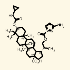 CC(COC(=O)n1ccc(N)n1)[C@@H]1CC[C@]2(C(=O)O)CC[C@]3(C)C(CCC4[C@@]5(C)CC[C@@H](OC(=O)NC6CC6)C(C)(C)C5CC[C@]43C)C12